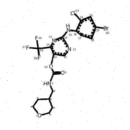 O=C(NCC1CCOCC1)Oc1cnc(Nc2ccc(Br)cc2Cl)nc1C(F)(F)F